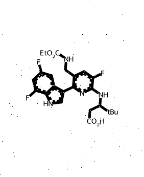 CCOC(=O)NCc1cc(F)c(NC(CC(=O)O)C(C)(C)C)nc1-c1c[nH]c2c(F)cc(F)cc12